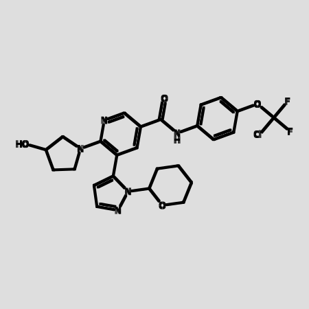 O=C(Nc1ccc(OC(F)(F)Cl)cc1)c1cnc(N2CCC(O)C2)c(-c2ccnn2C2CCCCO2)c1